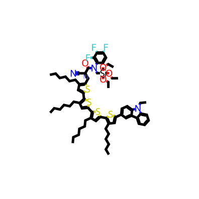 CCCCCCc1cc(-c2sc(-c3sc(-c4sc(-c5ccc6c(c5)c5ccccc5n6CC)cc4CCCCCC)cc3CCCCCC)cc2CCCCCC)sc1/C=C(\C#N)C(=O)N(C[Si](OCC)(OCC)OCC)c1ccc(F)c(F)c1F